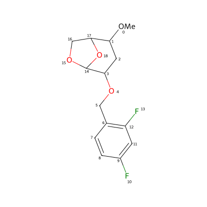 COC1CC(OCc2ccc(F)cc2F)C2OCC1O2